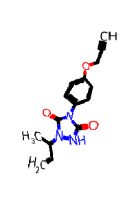 C#CCOc1ccc(-n2c(=O)[nH]n(C(C)C=C)c2=O)cc1